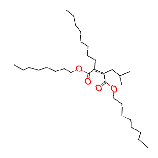 CCCCCCCCOC(=O)/C(CCCCCCCC)=C(/CC(C)C)C(=O)OCCCCCCCC